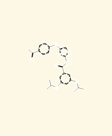 CC(=O)c1ccc(Oc2cnc(NC(=O)c3cc(OC(C)C)cc(OC(C)C)c3)s2)cc1